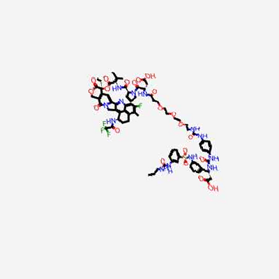 CCCNC(=O)Nc1cccc(S(=O)(=O)Nc2cccc([C@@H](CC(=O)O)NC(=O)Nc3ccc(NC(=O)NCCOCCOCCOCCC(=O)N[C@@H](CC(=O)O)C(=O)N4CCC[C@H]4C(=O)N[C@H](C(=O)O[C@]4(CC)C(=O)OCc5c4cc4n(c5=O)Cc5c-4nc4cc(F)c(C)c6c4c5[C@@H](NC(=O)C(F)(F)F)CC6)C(C)C)cc3)c2)c1